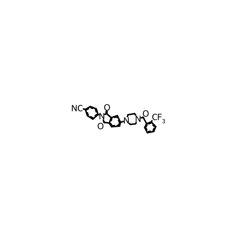 N#Cc1ccc(N2C(=O)c3ccc(N4CCN(C(=O)c5ccccc5C(F)(F)F)CC4)cc3C2=O)cc1